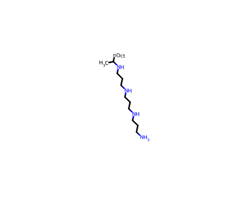 CCCCCCCCC(C)NCCCNCCCNCCCN